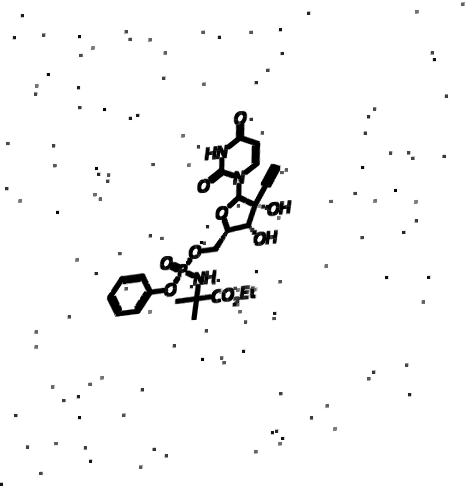 C#C[C@]1(O)C(n2ccc(=O)[nH]c2=O)O[C@H](COP(=O)(NC(C)(C)C(=O)OCC)Oc2ccccc2)[C@H]1O